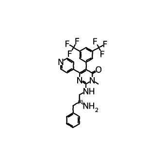 Cn1c(NC[C@H](N)Cc2ccccc2)nc(-c2ccncc2)c(-c2cc(C(F)(F)F)cc(C(F)(F)F)c2)c1=O